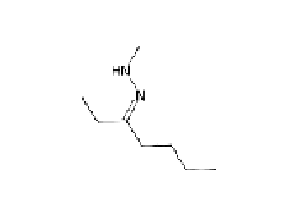 CCCCC(CC)=NNC